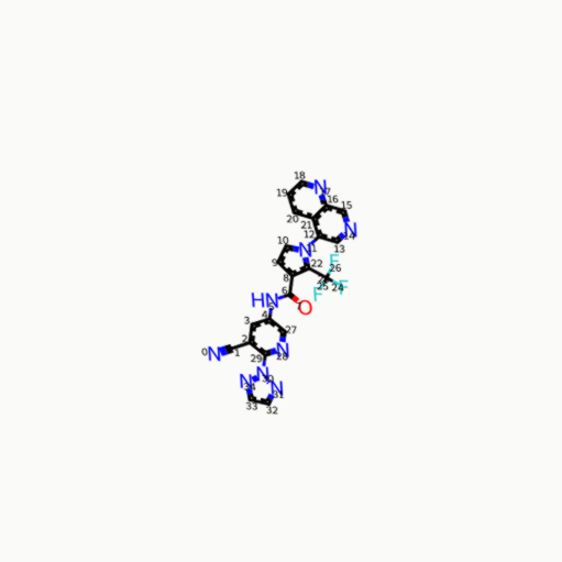 N#Cc1cc(NC(=O)c2ccn(-c3cncc4ncccc34)c2C(F)(F)F)cnc1-n1nccn1